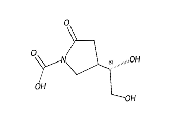 O=C(O)N1CC([C@H](O)CO)CC1=O